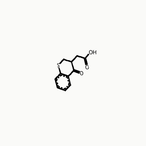 O=C(O)CC1CSc2ccccc2C1=O